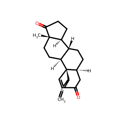 C=C=C[C@]12C=CC(=O)C[C@@H]1CC[C@@H]1[C@@H]2CC[C@]2(C)C(=O)CC[C@@H]12